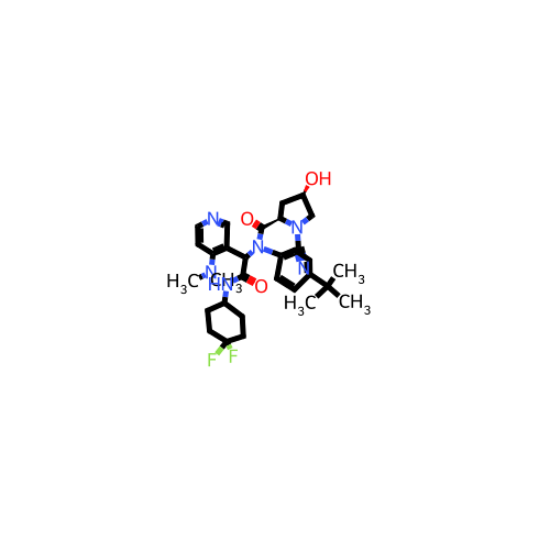 CN(C)c1ccncc1C(C(=O)NC1CCC(F)(F)CC1)N(C(=O)[C@H]1C[C@@H](O)CN1C#N)c1ccc(C(C)(C)C)cc1